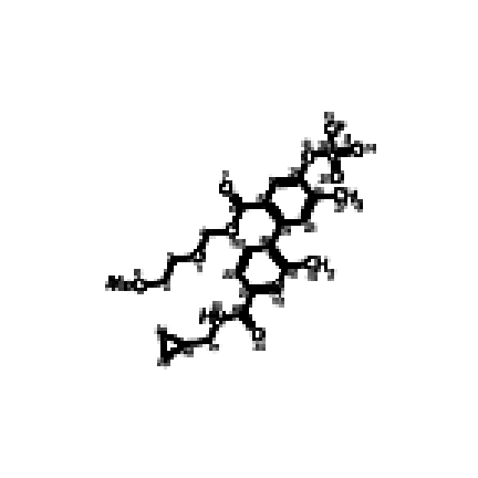 COCCOCOC(=O)c1cc(OS(=O)(=O)C(F)(F)F)c(C)cc1-c1ccc(C(=O)NCC2CC2)nc1C